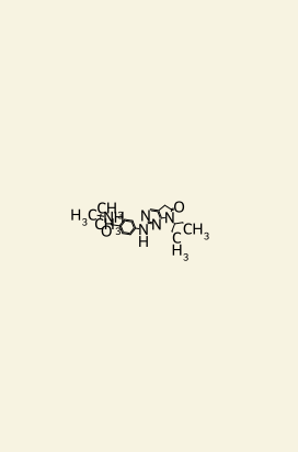 CCC(CC)N1C(=O)Cc2cnc(Nc3ccc(C(=O)NC(C)(C)C)cc3)nc21